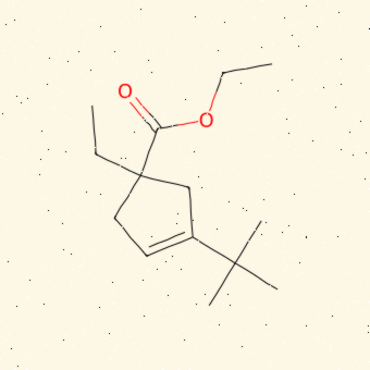 CCOC(=O)C1(CC)CC=C(C(C)(C)C)C1